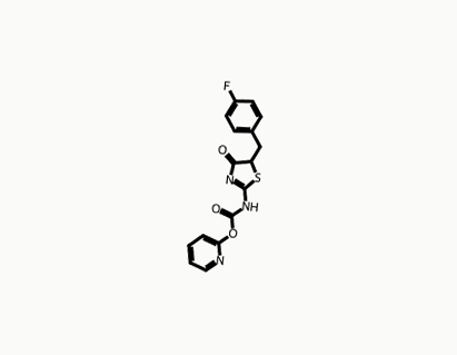 O=C(NC1=NC(=O)C(Cc2ccc(F)cc2)S1)Oc1ccccn1